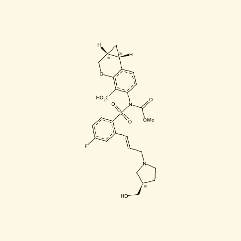 COC(=O)N(c1ccc2c(c1C(=O)O)OC[C@@H]1C[C@H]21)S(=O)(=O)c1ccc(F)cc1C=CCN1CC[C@@H](CO)C1